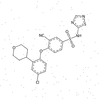 N#Cc1cc(S(=O)(=O)Nc2ncns2)ccc1Oc1ccc(Cl)cc1C1CCOCC1